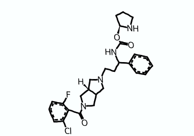 O=C(NC(CCN1CC2CN(C(=O)c3c(F)cccc3Cl)C[C@@H]2C1)c1ccccc1)O[C@H]1CCCN1